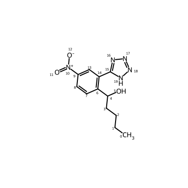 CCCCC(O)c1ccc([N+](=O)[O-])cc1-c1nnn[nH]1